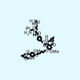 C=C1CC2C(O)N(C(=O)OCc3ccc(NC(=O)[C@H](CCCNC(N)=O)NC(=O)[C@@H](N)C(C)C)cc3)c3cc(OCCCCCOc4cc5c(cc4OC)C(=O)N4CC(=C)C[C@H]4CN5)c(OC)cc3C(=O)N2C1